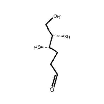 O=CCC[C@H](O)[C@@H](S)CO